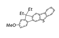 CCC1(CC)c2cc(OC)ccc2-c2cc3sc4ccccc4c3cc21